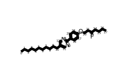 CCCCCCCCCCCc1cnc(-c2ccc(OCCC(F)CCCC)cc2)nc1